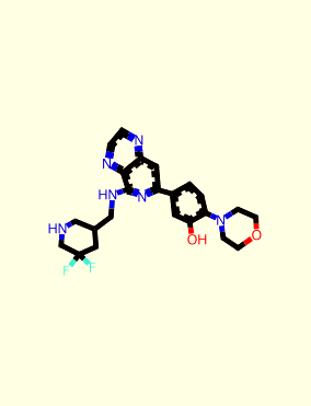 Oc1cc(-c2cc3nccnc3c(NCC3CNCC(F)(F)C3)n2)ccc1N1CCOCC1